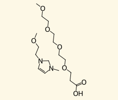 COCCN1C=CN(C)C1.COCCOCCOCCOCCC(=O)O